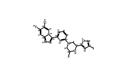 Cc1noc(C2CN(c3ccnc(-c4cnc5cc(F)c(Cl)cn45)n3)CC(C)O2)n1